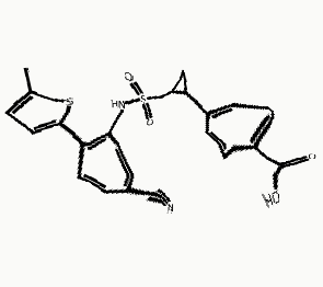 Cc1ccc(-c2ccc(C#N)cc2NS(=O)(=O)C2CC2c2ccc(C(=O)O)cc2)s1